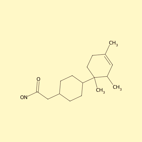 CC1=CC(C)C(C)(C2CCC(CC(=O)N=O)CC2)CC1